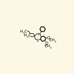 CCCCC1(CC)CSc2cc(OC)c(OC)cc2N(c2ccccc2)C1